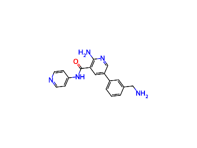 NCc1cccc(-c2cnc(N)c(C(=O)Nc3ccncc3)c2)c1